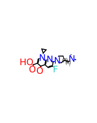 C[C@H]([C@@H]1CCN(c2nc3c(cc2F)c(=O)c(C(=O)O)cn3C2CC2)C1)N(C)C